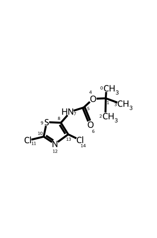 CC(C)(C)OC(=O)Nc1sc(Cl)nc1Cl